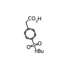 CCCCS(=O)(=O)c1ccc(CC(=O)O)cc1